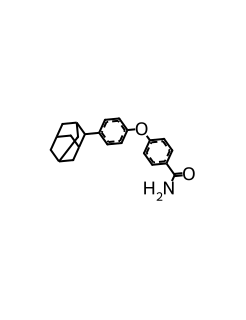 NC(=O)c1ccc(Oc2ccc(C3C4CC5CC(C4)CC3C5)cc2)cc1